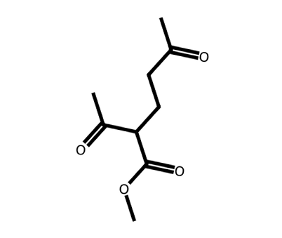 COC(=O)C(CCC(C)=O)C(C)=O